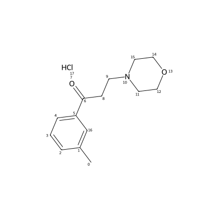 Cc1cccc(C(=O)CCN2CCOCC2)c1.Cl